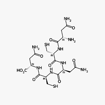 NC(=O)C[C@H](NC(=O)[C@H](CS)NC(=O)[C@H](CC(N)=O)NC(=O)[C@H](CS)NC(=O)[C@@H](N)CC(N)=O)C(=O)O